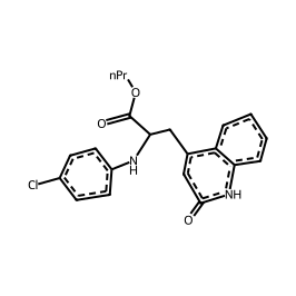 [CH2][CH]COC(=O)C(Cc1cc(=O)[nH]c2ccccc12)Nc1ccc(Cl)cc1